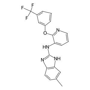 Cc1ccc2nc(Nc3cccnc3Oc3cccc(C(F)(F)F)c3)[nH]c2c1